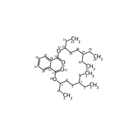 CCC(CC)CCC(CC)OC(=O)c1ccccc1C(=O)OC(CC)CCC(CC)CC